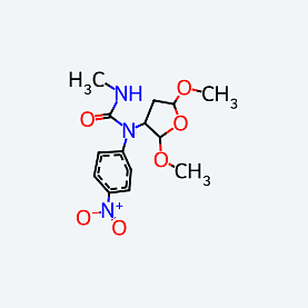 CNC(=O)N(c1ccc([N+](=O)[O-])cc1)C1CC(OC)OC1OC